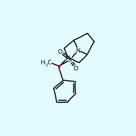 CCN1CC2CCC(C1)N2S(=O)(=O)Cc1ccccc1